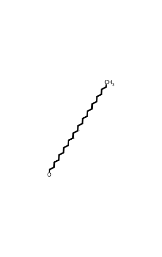 CCCCCCCCCCCCC[CH]C[CH]CCCCCCCCC[O]